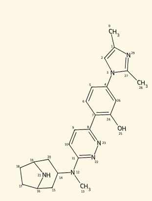 Cc1cn(-c2ccc(-c3ccc(N(C)C4CC5CCC(C4)N5)nn3)c(O)c2)c(C)n1